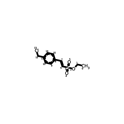 CCOS(=O)(=O)C=Cc1ccc(CCl)cc1